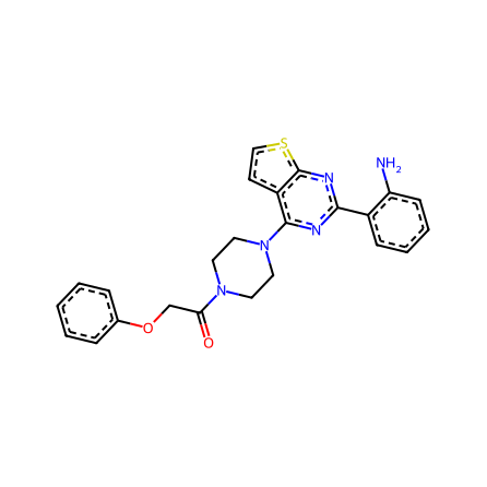 Nc1ccccc1-c1nc(N2CCN(C(=O)COc3ccccc3)CC2)c2ccsc2n1